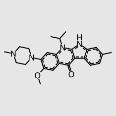 COc1cc2c(=O)c3c4ccc(C)cc4[nH]c3n(C(C)C)c2cc1N1CCN(C)CC1